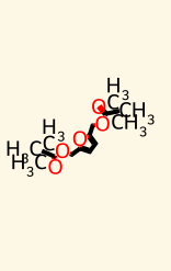 CC(C)(C)C(=O)OCc1ccc(COC(=O)C(C)(C)C)o1